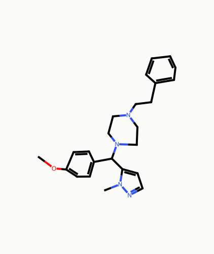 COc1ccc(C(c2ccnn2C)N2CCN(CCc3ccccc3)CC2)cc1